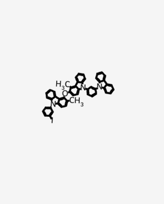 Cc1ccc2c(c1Oc1ccc3c(c1C)c1ccccc1n3-c1cccc(-n3c4ccccc4c4ccccc43)c1)c1ccccc1n2-c1cccc(I)c1